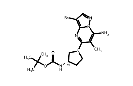 Cc1c(N2CC[C@H](NC(=O)OC(C)(C)C)C2)nc2c(Br)cnn2c1N